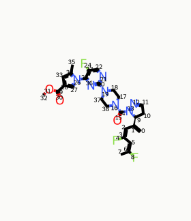 C=C(/C=C(F)\C=C(/C)F)[C@@H]1CC=NN1C(=O)N1CCN(c2ncc(F)c(-n3cc(C(=O)OC)cc3C)n2)CC1